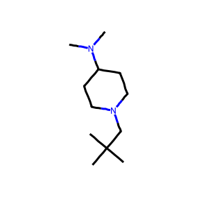 CN(C)C1CCN(CC(C)(C)C)CC1